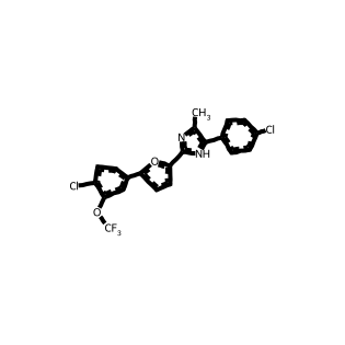 Cc1nc(-c2ccc(-c3ccc(Cl)c(OC(F)(F)F)c3)o2)[nH]c1-c1ccc(Cl)cc1